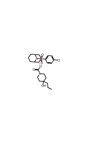 CCCC1(O)CCN(C(=O)O[C@H]2CCC3CCCC2N3S(=O)(=O)c2ccc(Cl)cc2)CC1